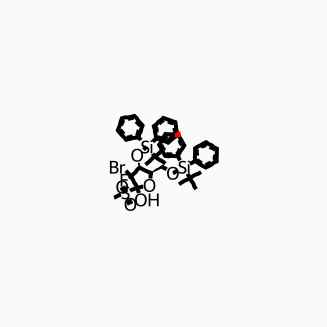 CC(C)(C)[Si](OC[C@H]1OC(O)(S(C)(=O)=O)[C@](F)(Br)[C@@H]1O[Si](c1ccccc1)(c1ccccc1)C(C)(C)C)(c1ccccc1)c1ccccc1